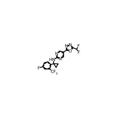 Fc1ccc(C2(Nc3ncc(-c4nnc(C(F)F)o4)cn3)CC2)c(C(F)(F)F)c1